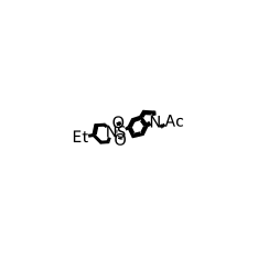 CCC1=CCN(S(=O)(=O)c2ccc3c(ccn3CC(C)=O)c2)CC1